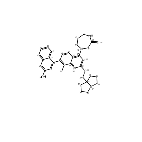 Cc1c(-c2cc(O)cc3ccccc23)ccc2c(N3CCCNC(=O)C3)nc(OCC34CCCN3CCC4)nc12